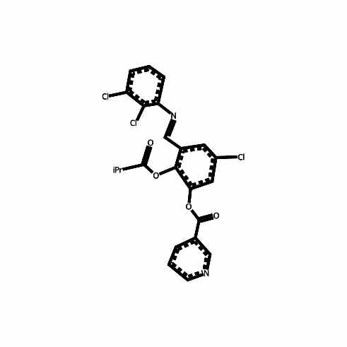 CC(C)C(=O)Oc1c(C=Nc2cccc(Cl)c2Cl)cc(Cl)cc1OC(=O)c1cccnc1